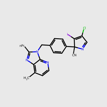 CCCc1nc2c(C)ccnc2n1Cc1ccc(C2(C#N)N=CC(Cl)=C2I)cc1